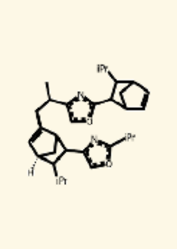 CC(C)c1nc(C2C3C[C@H](C=C3CC(C)c3coc(C4C5C=CC(C5)C4C(C)C)n3)C2C(C)C)co1